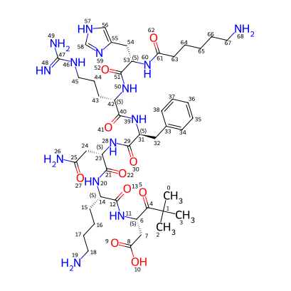 CC(C)(C)C(=O)[C@H](CC(=O)O)NC(=O)[C@H](CCCCN)NC(=O)[C@H](CC(N)=O)NC(=O)[C@H](Cc1ccccc1)NC(=O)[C@H](CCCNC(=N)N)NC(=O)[C@H](Cc1c[nH]cn1)NC(=O)CCCCCN